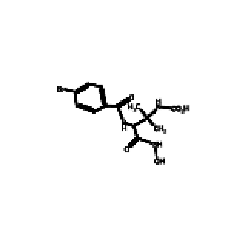 CC(C)(NC(=O)O)C(NC(=O)c1ccc(Br)cc1)C(=O)NO